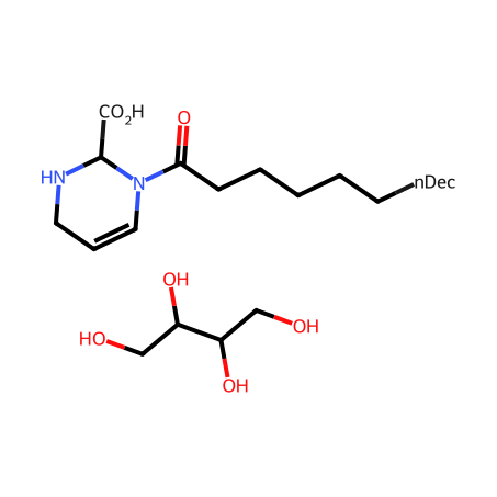 CCCCCCCCCCCCCCCC(=O)N1C=CCNC1C(=O)O.OCC(O)C(O)CO